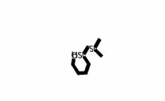 C[Si](C)C[SiH]1CCCCO1